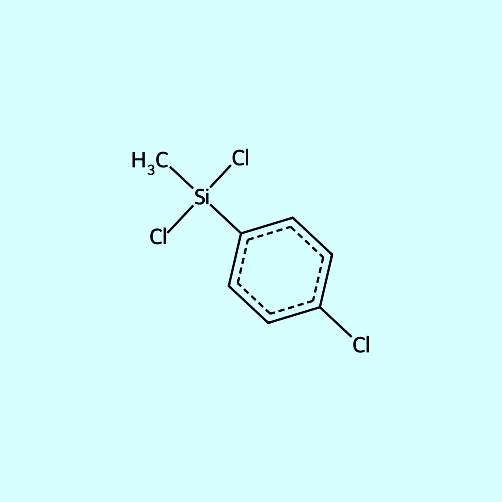 C[Si](Cl)(Cl)c1ccc(Cl)cc1